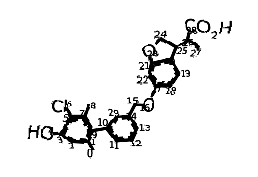 Cc1cc(O)c(Cl)c(C)c1-c1cccc(COc2ccc3c(c2)OC[C@H]3C(C)C(=O)O)c1